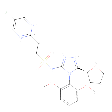 COc1cccc(OC)c1-n1c(NS(=O)(=O)CCc2ncc(Cl)cn2)nnc1[C@@H]1CCCO1